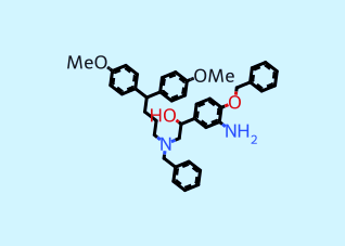 COc1ccc(C(CCCN(Cc2ccccc2)CC(O)c2ccc(OCc3ccccc3)c(N)c2)c2ccc(OC)cc2)cc1